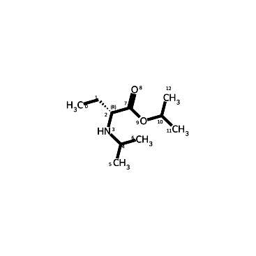 CC[C@@H](NC(C)C)C(=O)OC(C)C